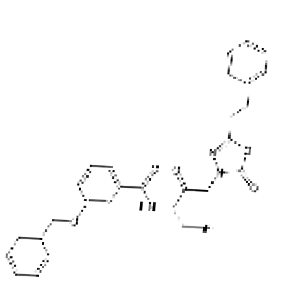 CC(C)C[C@H](NC(=O)c1cccc(OCc2ccccc2)c1)C(=O)Cn1nc(CCc2ccccc2)oc1=O